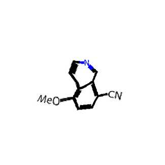 COc1ccc(C#N)c2cnccc12